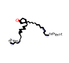 CCCCC/C=C\C/C=C\CCCCCCCCC1(CCCCCCCC/C=C\C/C=C\CCCCC)CCC(=O)C1